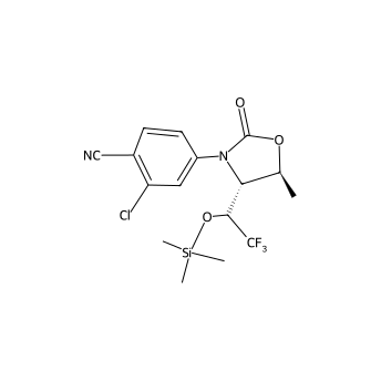 C[C@@H]1OC(=O)N(c2ccc(C#N)c(Cl)c2)[C@H]1C(O[Si](C)(C)C)C(F)(F)F